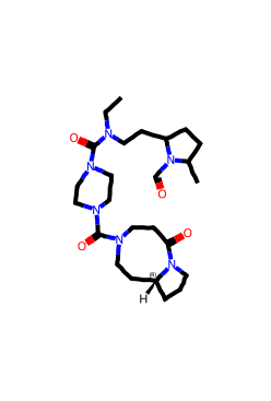 CCN(CCC1CCC(C)N1C=O)C(=O)N1CCN(C(=O)N2CCC(=O)N3CCC[C@@H]3CC2)CC1